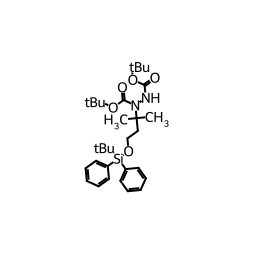 CC(C)(C)OC(=O)NN(C(=O)OC(C)(C)C)C(C)(C)CCO[Si](c1ccccc1)(c1ccccc1)C(C)(C)C